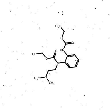 CCOC(=O)Nc1ccccc1N(CCN(C)C)C(=O)OCC